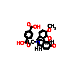 COC1=C2O[C@H]3C(=O)C=C[C@H]4[C@H]5CC(C=C1)C2[C@@]34CCN5C.O=C(O)c1ccc(C(=O)O)cc1